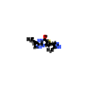 Cc1[nH]ncc1-c1cc2nc([C@@H]3NCC4C(C)C43)[nH]c(=O)c2s1